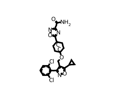 NC(=O)c1noc(C23CCC(OCc4c(-c5c(Cl)cccc5Cl)noc4C4CC4)(CC2)CC3)n1